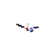 CCC=CC=COC(=O)C[n+]1ccn(CCCC)c1.[Cl-]